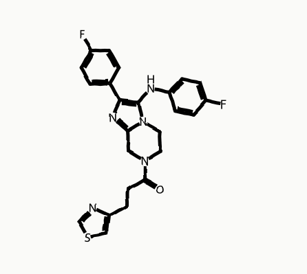 O=C(CCc1cscn1)N1CCn2c(nc(-c3ccc(F)cc3)c2Nc2ccc(F)cc2)C1